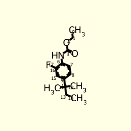 CCOC(=O)Nc1ccc(C(C)(C)CC)cc1F